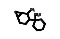 CC1[C](C2(C(=O)O)CCCCC2)CCC2OC21